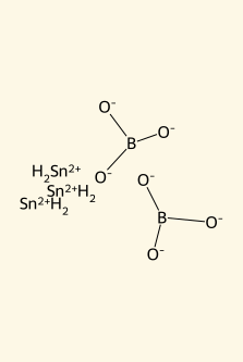 [O-]B([O-])[O-].[O-]B([O-])[O-].[SnH2+2].[SnH2+2].[SnH2+2]